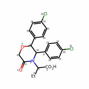 CCC(C(=O)O)N1C(=O)COC(c2ccc(Cl)cc2)C1c1ccc(Cl)cc1